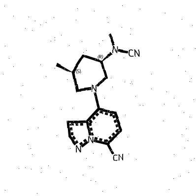 C[C@H]1C[C@@H](N(C)C#N)CN(c2ccc(C#N)n3nccc23)C1